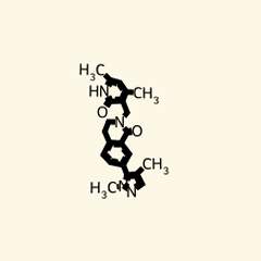 Cc1cc(C)c(CN2CCc3ccc(-c4c(C)cnn4C)cc3C2=O)c(=O)[nH]1